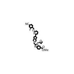 COC(=O)c1ccc2nc(CN3CC4C=C(c5cccc(OCc6ccc(C#N)cc6F)n5)CC4C3)n(C[C@@H]3CCO3)c2c1